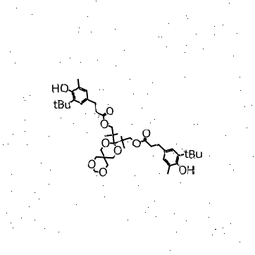 Cc1cc(CCC(=O)OCC(C)(C)C2(C(C)(C)COC(=O)CCc3cc(C)c(O)c(C(C)(C)C)c3)OCC3(COCOC3)CO2)cc(C(C)(C)C)c1O